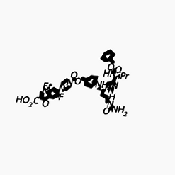 CCn1cc(C(=O)O)c(=O)c2cc(F)c(N3CCN(C(=O)OCc4ccc(NC[C@H](CCCNC(N)=O)n5cc([C@@H](NC(=O)OCc6ccccc6)C(C)C)nn5)cc4)CC3)cc21